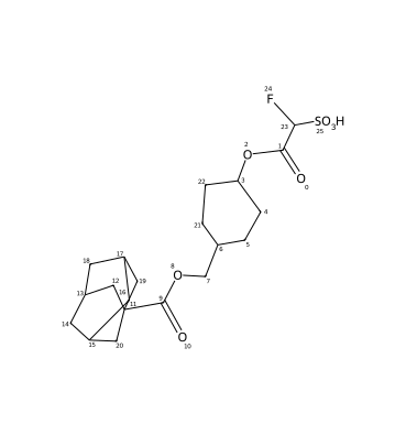 O=C(OC1CCC(COC(=O)C23CC4CC(CC(C4)C2)C3)CC1)C(F)S(=O)(=O)O